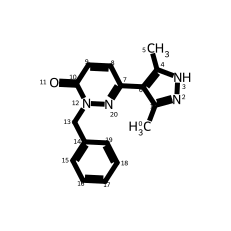 Cc1n[nH]c(C)c1-c1ccc(=O)n(Cc2ccccc2)n1